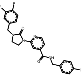 O=C(NCc1ccc(F)cc1)c1ccnc(N2CCN(Cc3ccc(F)c(F)c3)C2=O)c1